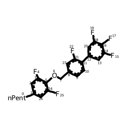 CCCCCc1cc(F)c(OCc2ccc(-c3cc(F)c(F)c(F)c3)c(F)c2)c(F)c1